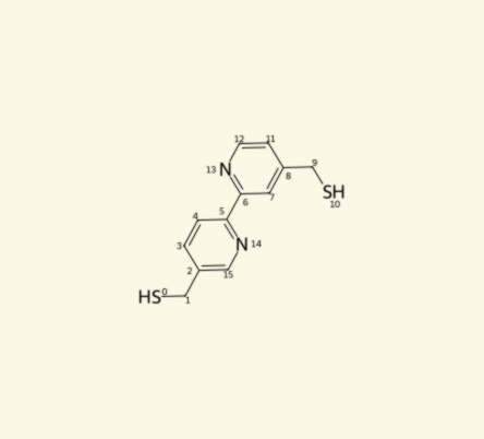 SCc1ccc(-c2cc(CS)ccn2)nc1